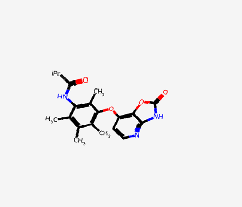 Cc1c(C)c(NC(=O)C(C)C)c(C)c(Oc2ccnc3[nH]c(=O)oc23)c1C